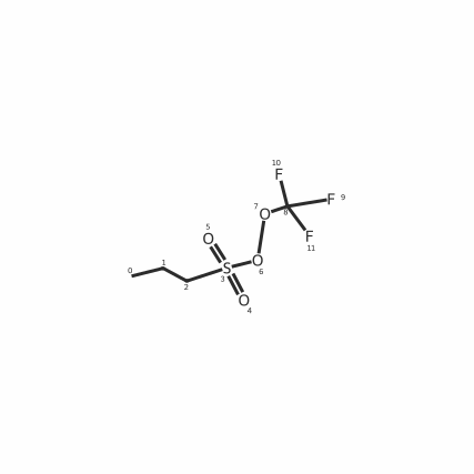 CCCS(=O)(=O)OOC(F)(F)F